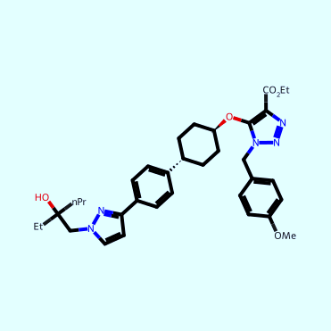 CCCC(O)(CC)Cn1ccc(-c2ccc([C@H]3CC[C@H](Oc4c(C(=O)OCC)nnn4Cc4ccc(OC)cc4)CC3)cc2)n1